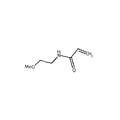 C=CC(=O)NCCOC